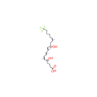 O=C(O)CCC[C@H](O)\C=C/C=C/C=C/[C@H](O)C/C=C\CCCCC(F)(F)F